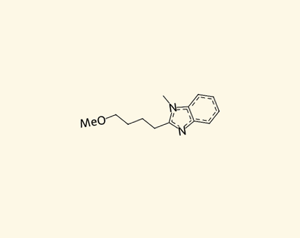 COCCCCc1nc2ccccc2n1C